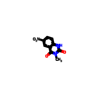 Cn1c(=O)[nH]c2ccc([N+](=O)[O-])cc2c1=O